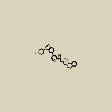 OC(CNc1cc(-c2ccc3ncn(C4CCNCC4)c3c2)ccn1)CN1CCc2ccccc2C1